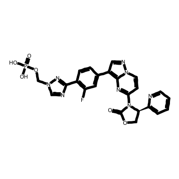 O=C1OC[C@H](c2ccccn2)N1c1ccn2ncc(-c3ccc(-c4ncn(COP(=O)(O)O)n4)c(F)c3)c2n1